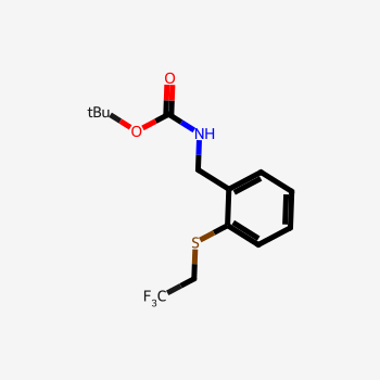 CC(C)(C)OC(=O)NCc1ccccc1SCC(F)(F)F